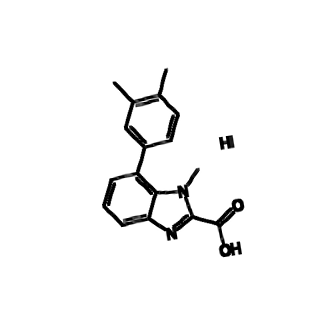 Cc1ccc(-c2cccc3nc(C(=O)O)n(C)c23)cc1C.I